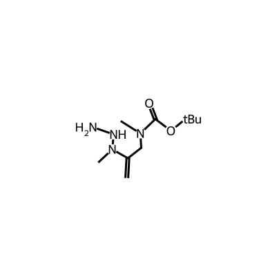 C=C(CN(C)C(=O)OC(C)(C)C)N(C)NN